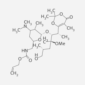 C=CCOC(=O)NCC1CC(N(C)C)C(C)[C@H](O[C@H]([C@@H](C)C2=C(C)C(=O)OC(C)(C)O2)[C@@](C)(C[C@@H](C)CO)OC)O1